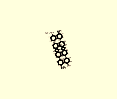 CCCCCCCC[C@H]1CC[C@H](C2CCC3(CC2)CC2(CCC([C@H]4CC[C@H](CCC)CC4)CC2)C3)CC1.CCC[C@H]1CC[C@H](C2CCC3(CC2)CC2(CCC([C@H]4CC[C@H](CC)CC4)CC2)C3)CC1